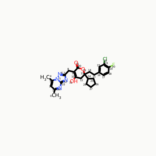 Cc1cc(C)n2nc(CC3=C(O)CC(CCc4ccc(F)c(Cl)c4)(C4CCCC4)OC3=O)nc2n1